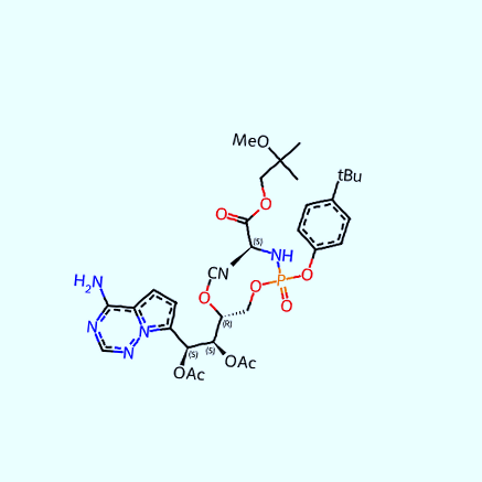 COC(C)(C)COC(=O)[C@H](C)NP(=O)(OC[C@@H](OC#N)[C@@H](OC(C)=O)[C@@H](OC(C)=O)c1ccc2c(N)ncnn12)Oc1ccc(C(C)(C)C)cc1